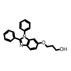 OCCCOc1ccc2nc(-c3ccccc3)n(-c3ccccc3)c2c1